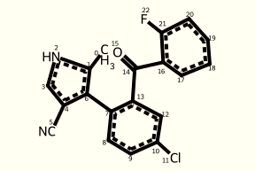 Cc1[nH]cc(C#N)c1-c1ccc(Cl)cc1C(=O)c1ccccc1F